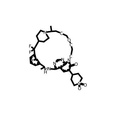 CC1CCCOCCCn2c(=O)c(C3CCS(=O)(=O)CC3)cc3c(ncnc32)N[C@H](C)c2cccc(c2F)C(F)(F)C2CCN1CC2